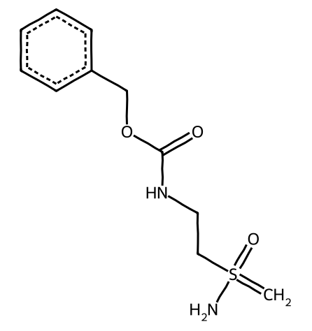 C=S(N)(=O)CCNC(=O)OCc1ccccc1